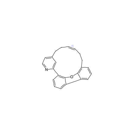 C1=C\CCc2cccc3c2oc2c(cccc23)-c2cc(ccn2)CC/1